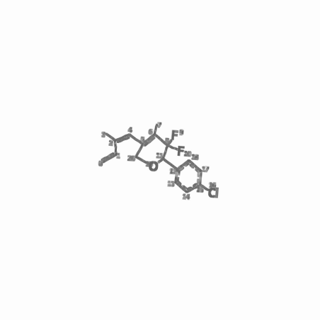 C=C/C(C)=C\C1=C(C)C(F)(F)C(c2ccc(Cl)cc2)OC1